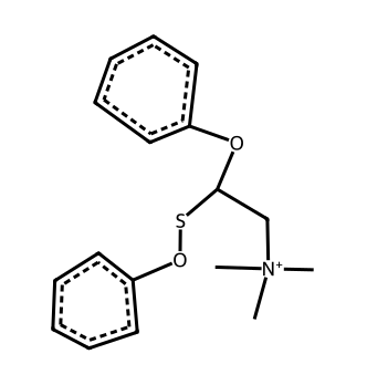 C[N+](C)(C)CC(Oc1ccccc1)SOc1ccccc1